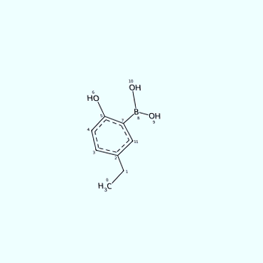 CCc1ccc(O)c(B(O)O)c1